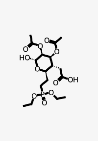 CCOP(=O)(CC[C@H]1O[C@H](O)[C@@H](OC(C)=O)[C@@H](OC(C)=O)[C@@H]1CC(=O)O)OCC